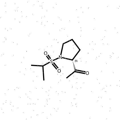 CC(=O)[C@H]1CCCN1S(=O)(=O)C(C)C